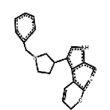 C1=Cc2c(ccc3[nH]cc(C4CCN(Cc5ccccc5)C4)c23)OC1